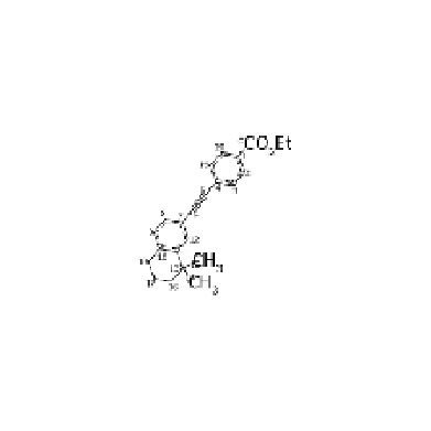 CCOC(=O)c1ccc(C#Cc2ccc3c(c2)C(C)(C)CCC3)cc1